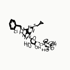 O=P(O)(O)CP(=O)(O)OC[C@H]1O[C@@H](n2nnc3c(NCc4ccccc4Cl)nc(SCC4CC4)nc32)[C@H](O)[C@@H]1O